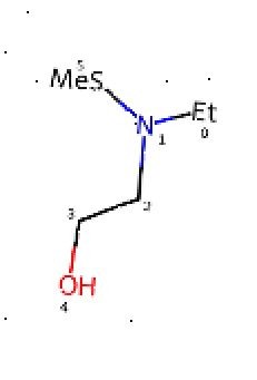 CCN(CCO)SC